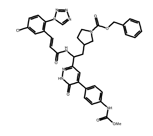 COC(=O)Nc1ccc(-c2cc(C(CC3CCN(C(=O)OCc4ccccc4)C3)NC(=O)/C=C/c3cc(Cl)ccc3-n3cnnn3)n[nH]c2=O)cc1